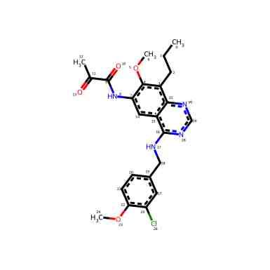 CCCc1c(OC)c(NC(=O)C(C)=O)cc2c(NCc3ccc(OC)c(Cl)c3)ncnc12